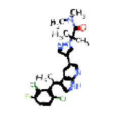 CC(c1c(Cl)ccc(F)c1Cl)c1c[nH]c2ncc(-c3cnn(C(C)(C)C(=O)N(C)C)c3)cc12